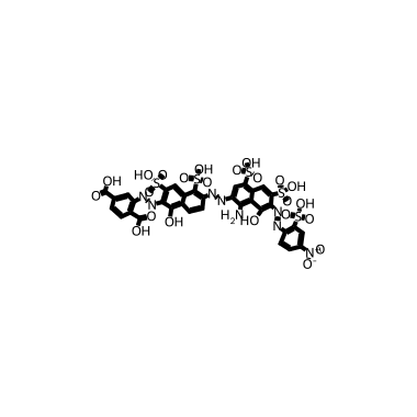 Nc1c(N=Nc2ccc3c(O)c(N=Nc4cc(C(=O)O)ccc4C(=O)O)c(S(=O)(=O)O)cc3c2S(=O)(=O)O)cc(S(=O)(=O)O)c2cc(S(=O)(=O)O)c(N=Nc3ccc([N+](=O)[O-])cc3S(=O)(=O)O)c(O)c12